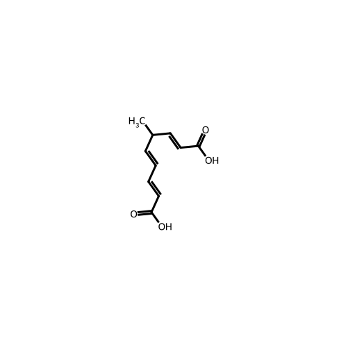 CC(C=CC=CC(=O)O)C=CC(=O)O